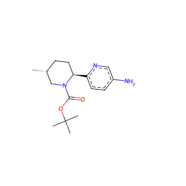 C[C@@H]1CC[C@@H](c2ccc(N)cn2)N(C(=O)OC(C)(C)C)C1